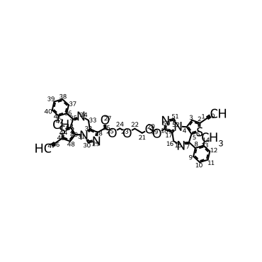 C#Cc1cc2c(s1)C(c1ccccc1C)=NCc1c(OOCCOCOC(=O)c3ncn4c3CN=C(c3ccccc3C)c3sc(C#C)cc3-4)ncn1-2